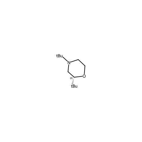 CC(C)(C)[C@@H]1CN(C(C)(C)C)CCO1